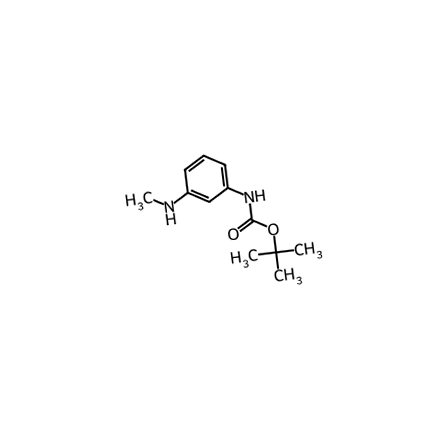 CNc1cccc(NC(=O)OC(C)(C)C)c1